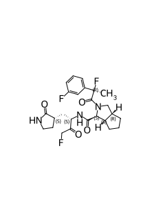 C[C@](F)(C(=O)N1C[C@@H]2CCC[C@@H]2[C@H]1C(=O)N[C@@H](C[C@@H]1CCNC1=O)C(=O)CF)c1cccc(F)c1